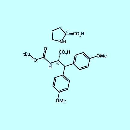 COc1ccc(C(c2ccc(OC)cc2)[C@H](NC(=O)OC(C)(C)C)C(=O)O)cc1.O=C(O)[C@@H]1CCCN1